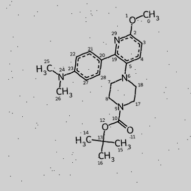 COc1ccc(N2CCN(C(=O)OC(C)(C)C)CC2)c(-c2ccc(N(C)C)cc2)n1